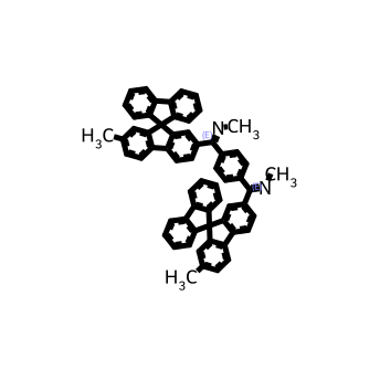 C/N=C(\c1ccc(/C(=N\C)c2ccc3c(c2)C2(c4ccccc4-c4ccccc42)c2cc(C)ccc2-3)cc1)c1ccc2c(c1)C1(c3ccccc3-c3ccccc31)c1cc(C)ccc1-2